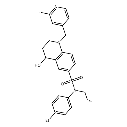 CCc1ccc(N(CC(C)C)S(=O)(=O)c2ccc3c(c2)C(O)CCN3Cc2ccnc(F)c2)cc1